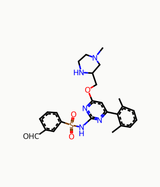 Cc1cccc(C)c1-c1cc(OCC2CN(C)CCN2)nc(NS(=O)(=O)c2cccc(C=O)c2)n1